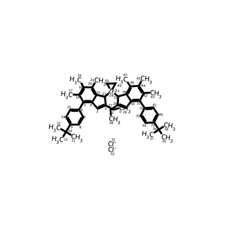 CCC1=Cc2c(-c3ccc(C(C)(C)C)cc3)c(C)c(C)c(C)c2[CH]1[Zr+2]1([CH]2C(CC)=Cc3c(-c4ccc(C(C)(C)C)cc4)c(C)c(C)c(C)c32)[CH2][CH2]1.[Cl-].[Cl-]